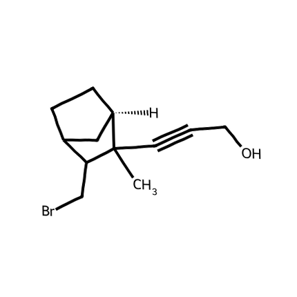 CC1(C#CCO)C(CBr)C2CC[C@@H]1C2